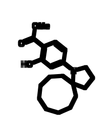 COC(=O)c1ccc(N2CCCC23CCCCCCCC3)cc1O